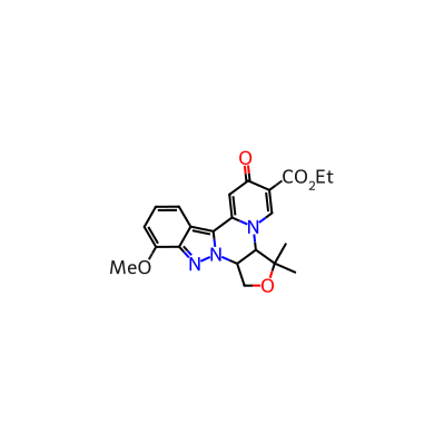 CCOC(=O)c1cn2c(cc1=O)-c1c3cccc(OC)c3nn1C1COC(C)(C)C12